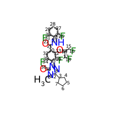 Cn1c(C2CCCC2)nn(-c2cc(O[C@@H](CF)C(F)F)c(C(=O)Nc3c(F)cccc3F)cc2F)c1=O